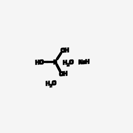 O.O.OB(O)O.[NaH]